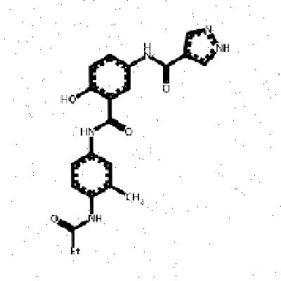 CCC(=O)Nc1ccc(NC(=O)c2cc(NC(=O)c3cn[nH]c3)ccc2O)cc1C